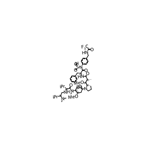 CC[C@H](C)[C@@H]([C@@H](CC(=O)N1CCC[C@H]1[C@H](OC)[C@@H](C)C(=O)N[C@@H](Cc1ccccc1)C(=O)N(c1ccc(CNC(=O)C(F)(F)F)cc1)[SH](=O)=O)OC)N(C)C(=O)[C@@H](NC[C@H](C(C)C)N(C)C)C(C)C